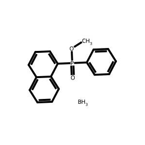 B.COP(=O)(c1ccccc1)c1cccc2ccccc12